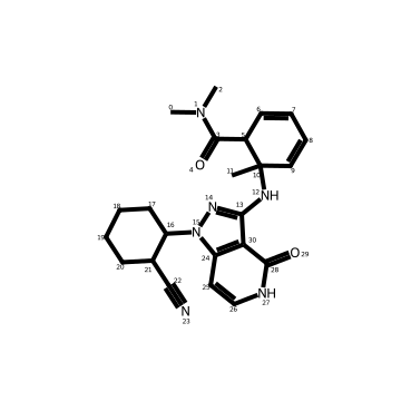 CN(C)C(=O)C1C=CC=CC1(C)Nc1nn(C2CCCCC2C#N)c2cc[nH]c(=O)c12